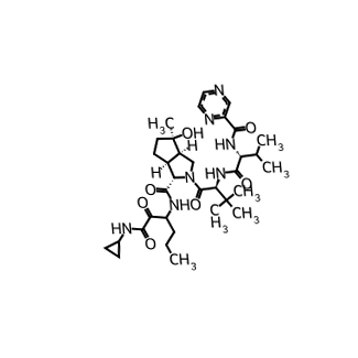 CCCC(NC(=O)[C@@H]1[C@H]2CC[C@@](C)(O)[C@H]2CN1C(=O)[C@@H](NC(=O)[C@H](NC(=O)c1cnccn1)C(C)C)C(C)(C)C)C(=O)C(=O)NC1CC1